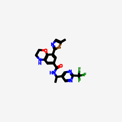 Cc1cnc(-c2cc(C(=O)NC(C)c3cnc(C(F)(F)F)nc3)cc3c2OCCN3)s1